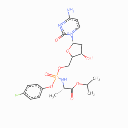 CC(C)OC(=O)[C@H](C)NP(=O)(OCC1O[C@@H](n2ccc(N)nc2=O)C[C@H]1O)Oc1ccc(F)cc1